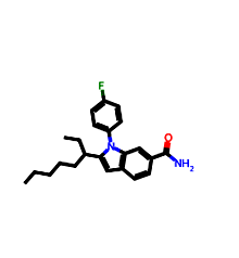 CCCCCC(CC)c1cc2ccc(C(N)=O)cc2n1-c1ccc(F)cc1